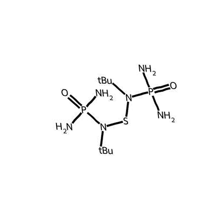 CC(C)(C)N(SN(C(C)(C)C)P(N)(N)=O)P(N)(N)=O